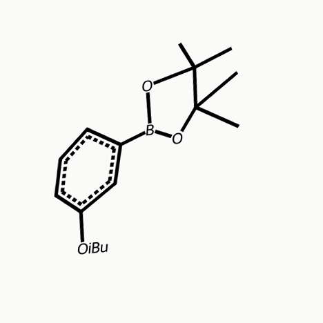 CC(C)COc1cccc(B2OC(C)(C)C(C)(C)O2)c1